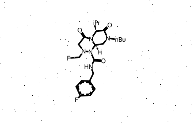 CCCCN1C[C@H]2N(C(=O)CN(CF)N2C(=O)NCc2ccc(F)cc2)[C@@H](C(C)C)C1=O